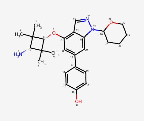 CC1(C)[C@H](N)C(C)(C)[C@@H]1Oc1cc(-c2ccc(O)cc2)cc2c1cnn2C1CCCCO1